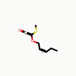 CC/C=C\COC(=C=O)SC